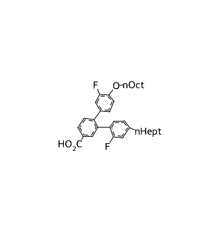 CCCCCCCCOc1ccc(-c2ccc(C(=O)O)cc2-c2ccc(CCCCCCC)cc2F)cc1F